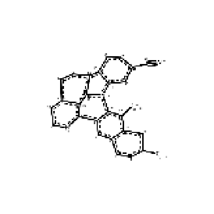 Cc1ccc2cc3c4nccc5ccc6c7ccc(C#N)cc7n(c3c(C)c2c1)c6c54